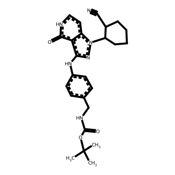 CC(C)(C)OC(=O)NCc1ccc(Nc2nn(C3CCCCC3C#N)c3cc[nH]c(=O)c23)cc1